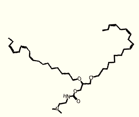 CC/C=C\C/C=C\C/C=C\CCCCCCCCOCC(COC(=O)NCCN(C)C)OCCCCCCCC/C=C\C/C=C\C/C=C\CC